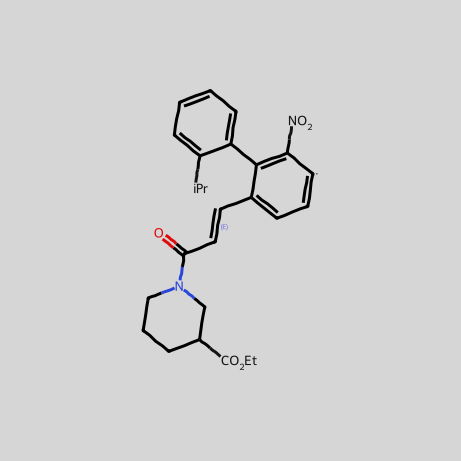 CCOC(=O)C1CCCN(C(=O)/C=C/c2cc[c]c([N+](=O)[O-])c2-c2ccccc2C(C)C)C1